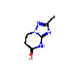 CC(C)c1nc2n(n1)CCC(=O)N2